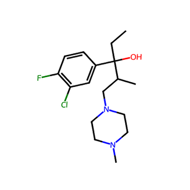 CCC(O)(c1ccc(F)c(Cl)c1)C(C)CN1CCN(C)CC1